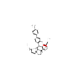 CN(C)c1ccc(-c2ccc3c(c2)C[C@]24CCC(=O)C=C2CCC2=C4C3C[C@@]3(C)[C@H]2CC[C@@]3(O)/C=C\CO)cc1